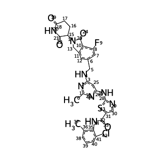 Cc1nc(NCc2cc(F)c3c(c2)CN(C2CCC(=O)NC2=O)C3=O)cc(Nc2ncc(C(=O)Nc3c(C)cccc3Cl)s2)n1